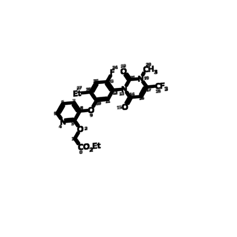 CCOC(=O)COc1ncccc1Oc1cc(-n2c(=O)cc(C(F)(F)F)n(C)c2=O)c(F)cc1CC